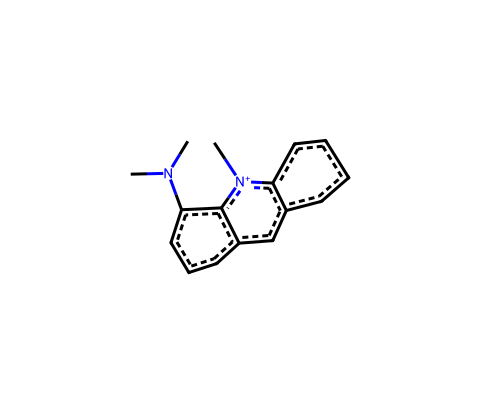 CN(C)c1cccc2cc3ccccc3[n+](C)c12